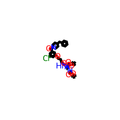 CC(C)(C)OC(=O)N=CN(NOCCCOc1cc(Cl)cc(C(=O)N2CCC(Cc3ccccc3)CC2)c1)C(=O)OC(C)(C)C